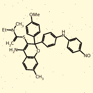 C=C(SC1=C(N)c2ccc(C)cc2OC1(c1ccc(Nc2ccc(N=O)cc2)cc1)c1ccc(OC)cc1)N(C)CC